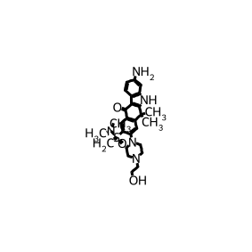 C=S(=O)(c1cc2c(cc1N1CCN(CCO)CC1)C(C)(C)c1[nH]c3cc(N)ccc3c1C2=O)N(C)C